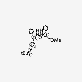 COCCC1C[C@@H](NC(=O)Nc2c(C)c(-c3cnc(COC(=O)C(C)(C)C)nc3)nn2-c2ccccc2)[C@H](c2ccccc2)O1